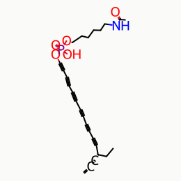 C=C=C=C(C#CC#CC#CC#CC#CC#COP(=O)(O)OCCCCCCNC(C)=O)CC